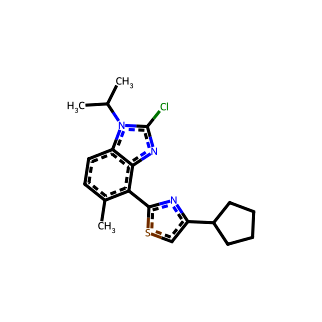 Cc1ccc2c(nc(Cl)n2C(C)C)c1-c1nc(C2CCCC2)cs1